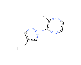 CCC(C)c1nccnc1-n1cc(C(F)(F)F)cn1